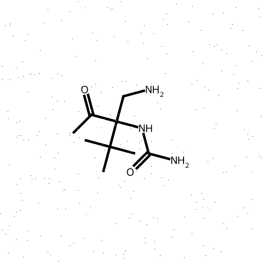 CC(=O)C(CN)(NC(N)=O)C(C)(C)C